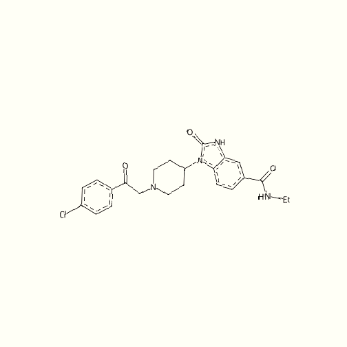 CCNC(=O)c1ccc2c(c1)[nH]c(=O)n2C1CCN(CC(=O)c2ccc(Cl)cc2)CC1